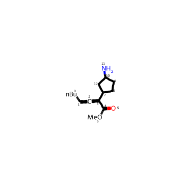 CCCCC=C=C(C(=O)OC)C1CCC(N)C1